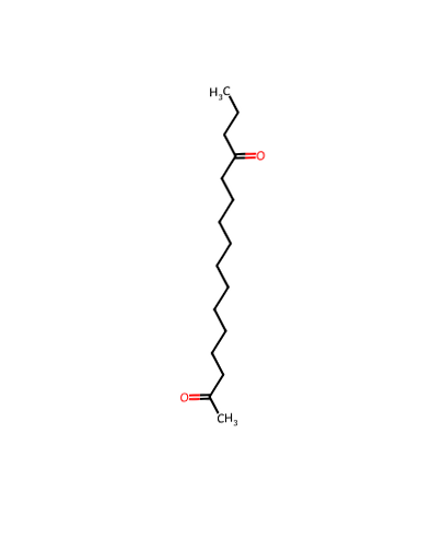 CCCC(=O)CCCCCCCCCCC(C)=O